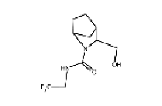 O=C(NCC(F)(F)F)N1C2CCC(C2)C1CO